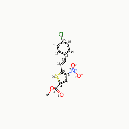 COC(=O)c1cc([N+](=O)[O-])c(/C=C/c2ccc(Cl)cc2)s1